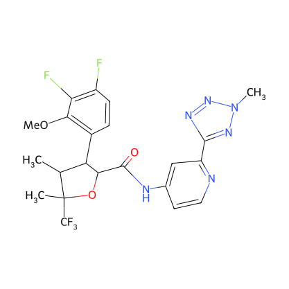 COc1c(C2C(C(=O)Nc3ccnc(-c4nnn(C)n4)c3)OC(C)(C(F)(F)F)C2C)ccc(F)c1F